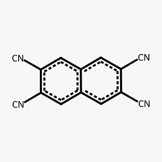 [C-]#[N+]c1cc2cc(C#N)c(C#N)cc2cc1[N+]#[C-]